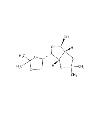 CC1(C)OCC([C@@H]2O[C@@H](O)[C@@H]3OC(C)(C)O[C@@H]32)O1